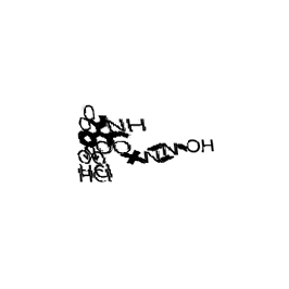 COC(=O)C1=C(C)NC(C)=C(C(=O)OCC(C)(C)CN2CCN(CCO)CC2)C1c1cccc([N+](=O)[O-])c1.Cl.Cl